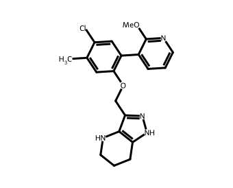 COc1ncccc1-c1cc(Cl)c(C)cc1OCc1n[nH]c2c1NCCC2